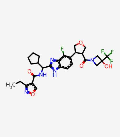 CCc1nocc1C(=O)NC(c1nc2c(F)c(C3COCC3C(=O)N3CC(O)(C(F)(F)F)C3)ccc2[nH]1)C1CCCC1